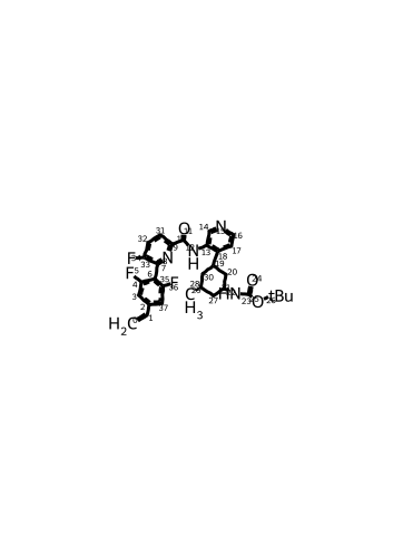 C=Cc1cc(F)c(-c2nc(C(=O)Nc3cnccc3C3CC(NC(=O)OC(C)(C)C)C[C@@H](C)C3)ccc2F)c(F)c1